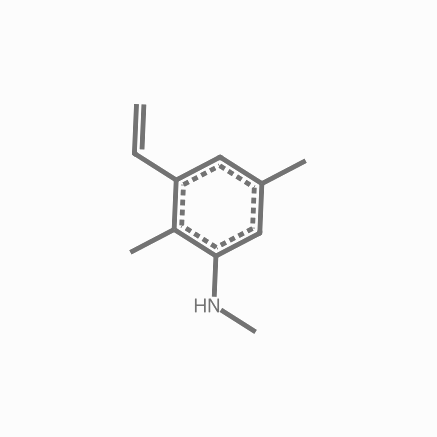 C=Cc1cc(C)cc(NC)c1C